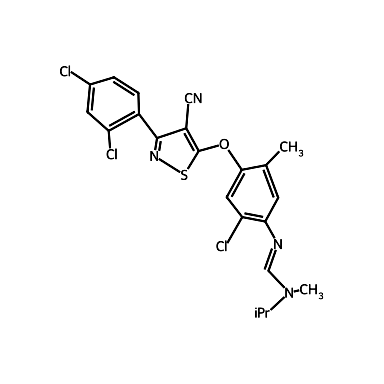 Cc1cc(N=CN(C)C(C)C)c(Cl)cc1Oc1snc(-c2ccc(Cl)cc2Cl)c1C#N